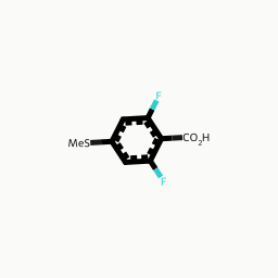 CSc1cc(F)c(C(=O)O)c(F)c1